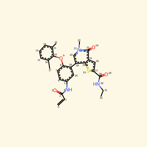 C=CC(=O)Nc1ccc(Oc2c(C)cccc2C)c(-c2cn(C)c(=O)c3cc(C(=O)NCC)sc23)c1